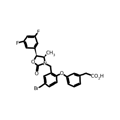 C[C@@H]1[C@H](c2cc(F)cc(F)c2)OC(=O)N1Cc1cc(Br)ccc1Oc1cccc(CC(=O)O)c1